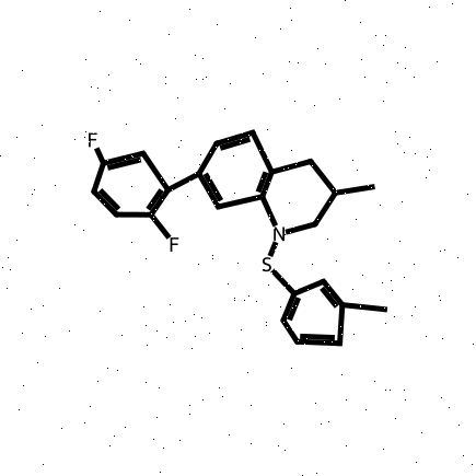 Cc1cccc(SN2CC(C)Cc3ccc(-c4cc(F)ccc4F)cc32)c1